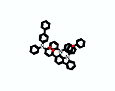 c1ccc(-c2ccc(N(c3ccccc3)c3ccc(-c4ccc5c6ccccc6n(-c6ccccc6)c5c4N(c4ccccc4)c4ccc(-c5ccccc5)cc4)cc3)cc2)cc1